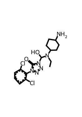 CCN(C1CCC(N)CC1)C(O)n1nnn(-c2c(Cl)cccc2Cl)c1=O